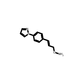 NOC/C=C/c1ccc(-n2cccn2)cc1